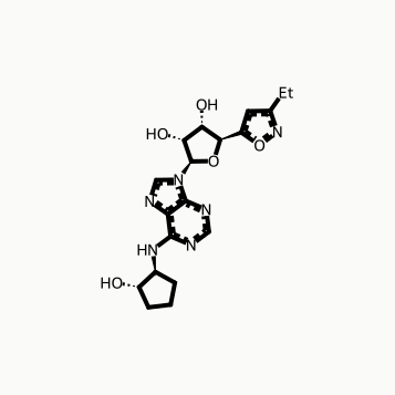 CCc1cc([C@H]2O[C@@H](n3cnc4c(N[C@H]5CCC[C@@H]5O)ncnc43)[C@H](O)[C@@H]2O)on1